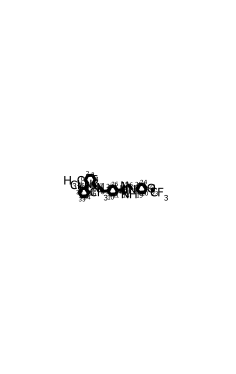 CC1CCS/C(=N\N=C\c2ccc(C(=N)/N=C\Nc3ccc(OC(F)(F)F)cc3)cc2)N1c1c(Cl)cccc1C(F)(F)F